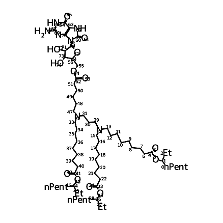 CCCCCC(CC)OC(=O)CCCCCCCCN(CCCCCCCCC(=O)OC(CC)CCCCC)CCCN(CCCCCCCCC(=O)OC(CC)CCCCC)CCCCCC(=O)OC[C@@H]1O[C@H](n2c(=O)[nH]c3c(=O)[nH]c(N)nc32)C(O)C1O